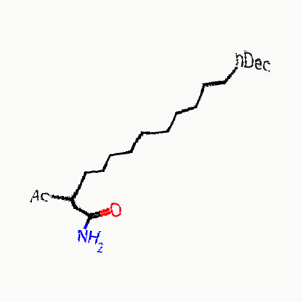 CCCCCCCCCCCCCCCCCCCCC(C(C)=O)C(N)=O